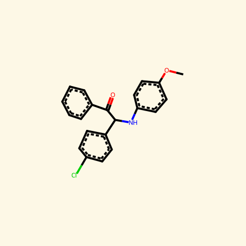 COc1ccc(NC(C(=O)c2ccccc2)c2ccc(Cl)cc2)cc1